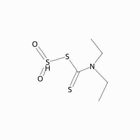 CCN(CC)C(=S)S[SH](=O)=O